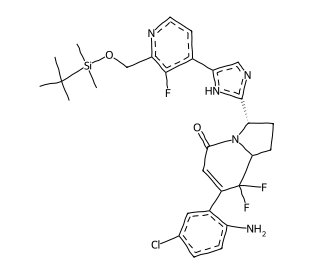 CC(C)(C)[Si](C)(C)OCc1nccc(-c2cnc([C@@H]3CCC4N3C(=O)C=C(c3cc(Cl)ccc3N)C4(F)F)[nH]2)c1F